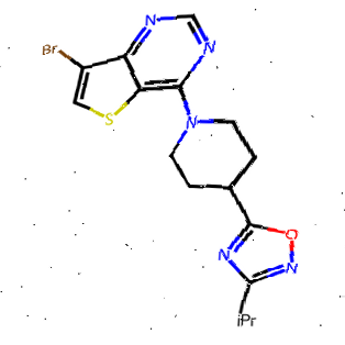 CC(C)c1noc(C2CCN(c3ncnc4c(Br)csc34)CC2)n1